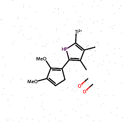 COC1=CCC(c2[pH][c]([Ti+2])c(C)c2C)=C1OC.C[O-].C[O-]